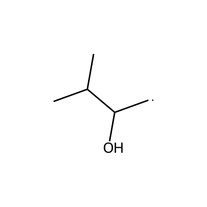 [CH2]C(O)C(C)C